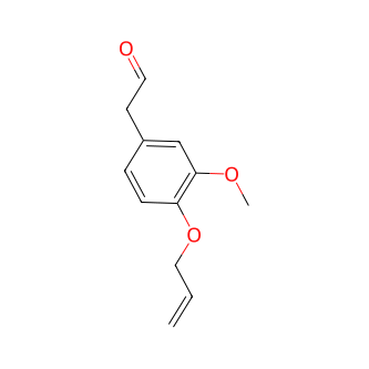 C=CCOc1ccc(CC=O)cc1OC